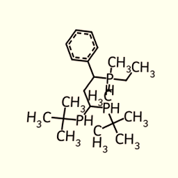 CC[PH](C)(C)C(CC(PC(C)(C)C)PC(C)(C)C)c1ccccc1